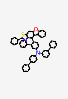 c1ccc(-c2ccc(N(c3cccc(-c4ccccc4)c3)c3ccc(-c4c5nc(-c6ccccc6)sc5cc5oc6ccccc6c45)c(-c4ccccc4)c3)cc2)cc1